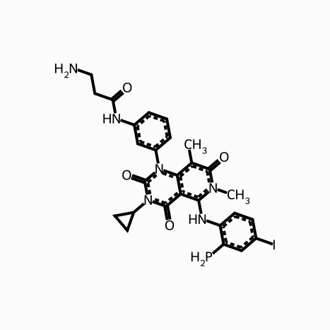 Cc1c(=O)n(C)c(Nc2ccc(I)cc2P)c2c(=O)n(C3CC3)c(=O)n(-c3cccc(NC(=O)CCN)c3)c12